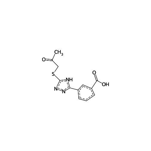 CC(=O)CSc1nnc(-c2cccc(C(=O)O)c2)[nH]1